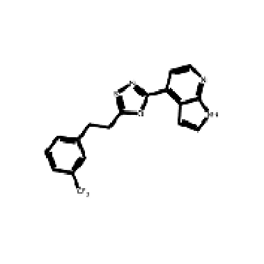 FC(F)(F)c1cccc(CCc2nnc(-c3ccnc4[nH]ccc34)o2)c1